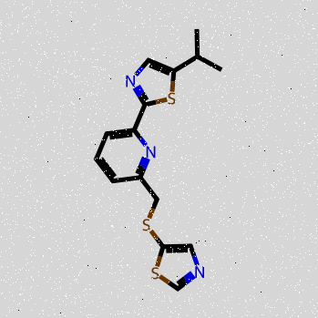 CC(C)c1cnc(-c2cccc(CSc3cncs3)n2)s1